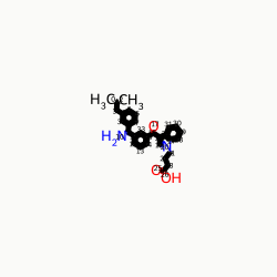 CC(C)Cc1cccc(C(N)c2cccc(C(=O)c3cn(CCCC(=O)O)c4ccccc34)c2)c1